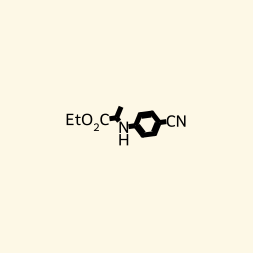 CCOC(=O)C(C)Nc1ccc(C#N)cc1